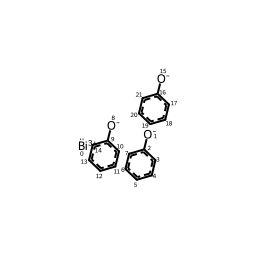 [Bi+3].[O-]c1ccccc1.[O-]c1ccccc1.[O-]c1ccccc1